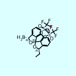 B[C@H]1O[C@@]2(O[C@H](CC)c3cccc(OS(=O)(=O)C(F)(F)F)c32)c2c(OS(=O)(=O)C(F)(F)F)cccc21